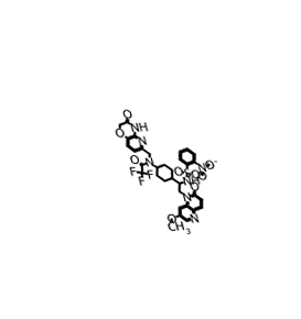 COc1cnc2ccc(=O)n(CC(NS(=O)(=O)c3ccccc3[N+](=O)[O-])C3CCC(N(Cc4ccc5c(n4)NC(=O)CO5)C(=O)C(F)(F)F)CC3)c2c1